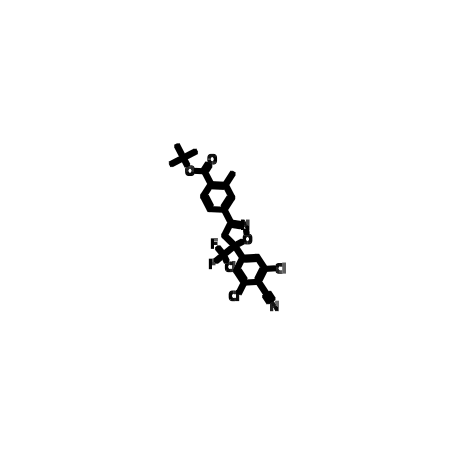 Cc1cc(C2=NOC(c3cc(Cl)c(C#N)c(Cl)c3)(C(F)(F)Cl)C2)ccc1C(=O)OC(C)(C)C